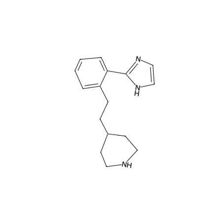 c1ccc(-c2ncc[nH]2)c(CCC2CCNCC2)c1